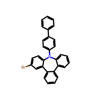 Brc1ccc2c(c1)-c1ccccc1-c1ccccc1N2c1ccc(-c2ccccc2)cc1